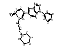 O=c1ccc(-c2ccc3c(c2)ncn3-c2ccccc2)cn1CCCN1CCCCC1